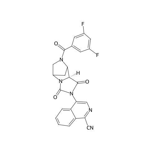 N#Cc1ncc(N2C(=O)[C@@H]3C4CC(CN4C(=O)c4cc(F)cc(F)c4)N3C2=O)c2ccccc12